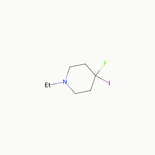 CCN1CCC(F)(I)CC1